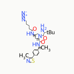 Cc1ncsc1-c1ccc([C@H](C)NC(=O)[C@@H]2C[C@@H](NC(=O)CCCCN=[N+]=[N-])CN2C(=O)C(N)C(C)(C)C)cc1